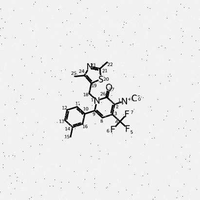 [C-]#[N+]c1c(C(F)(F)F)cc(-c2cccc(C)c2)n(Cc2sc(C)nc2C)c1=O